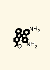 CC(=O)c1ccc2c(c1)C(c1ccc(N)cc1)(c1ccc(N)cc1)c1ccccc1-2